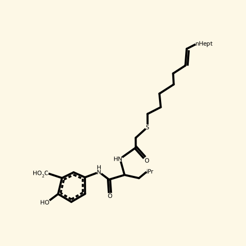 CCCCCCCC=CCCCCCSCC(=O)NC(CC(C)C)C(=O)Nc1ccc(O)c(C(=O)O)c1